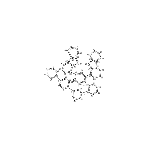 c1ccc(-c2ccc(-c3cccc(-c4ccccc4)c3-c3nc(-c4cccc5c4sc4ccccc45)nc(-c4cccc5c4sc4ccccc45)n3)cc2)cc1